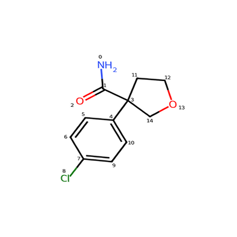 NC(=O)C1(c2ccc(Cl)cc2)CCOC1